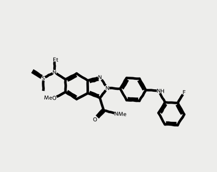 C=S(C)N(CC)c1cc2nn(-c3ccc(Nc4ccccc4F)cc3)c(C(=O)NC)c2cc1OC